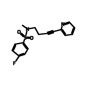 CN(CCC#Cc1ccccn1)S(=O)(=O)c1ccc(F)cc1